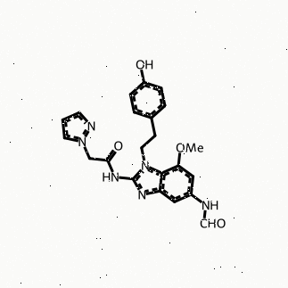 COc1cc(NC=O)cc2nc(NC(=O)Cn3cccn3)n(CCc3ccc(O)cc3)c12